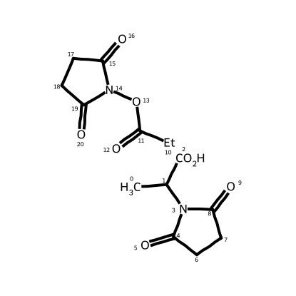 CC(C(=O)O)N1C(=O)CCC1=O.CCC(=O)ON1C(=O)CCC1=O